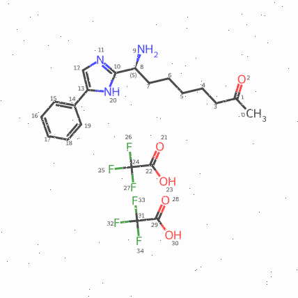 CC(=O)CCCCC[C@H](N)c1ncc(-c2ccccc2)[nH]1.O=C(O)C(F)(F)F.O=C(O)C(F)(F)F